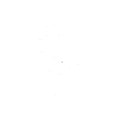 Cc1cccc2nc([C@H](C)NC(=O)c3c(N)nn4cncnc34)n(-c3ccccc3)c(=O)c12